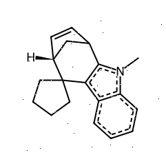 Cn1c2c(c3ccccc31)C1(CCCC1)[C@@H]1C=CC2C1